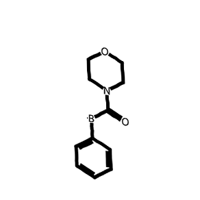 O=C([B]c1ccccc1)N1CCOCC1